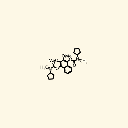 COc1c(OC)c(OC(=O)N(C)C2CCCC2)c2ccccc2c1OC(=O)N(C)C1CCCC1